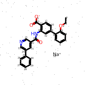 CCOc1ccccc1-c1ccc(C(=O)[O-])c(NC(=O)c2cncc(-c3ccccc3)c2)c1.[Na+]